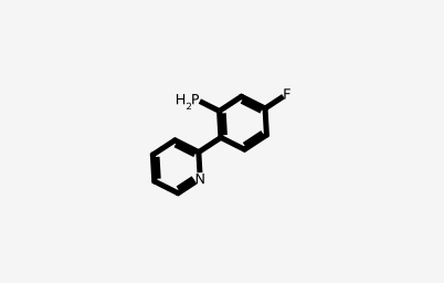 Fc1ccc(-c2ccccn2)c(P)c1